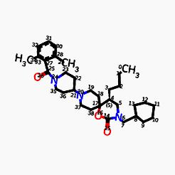 CCCC[C@H]1CN(CC2CCCCC2)C(=O)OC12CCN(C1CCN(C(=O)c3c(C)cccc3C)CC1)CC2